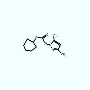 Cc1cc(C)n(OC(=O)OC2CCCCC2)n1